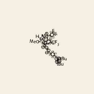 COCC(C)N(C(N)=NC(=O)c1ccc(F)c(F)c1)c1nn(C(=O)OCOC(=O)c2ccc(COP(=O)(OC(C)(C)C)OC(C)(C)C)cc2)c2cc(C(F)(F)F)ccc12